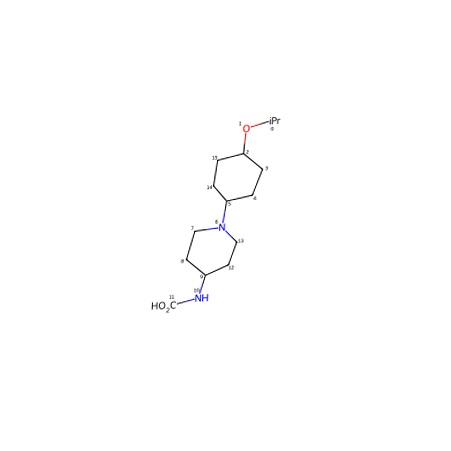 CC(C)OC1CCC(N2CCC(NC(=O)O)CC2)CC1